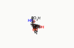 Cc1ccc(S(=O)(=O)O[C@H]2CC3C[C@H](O)CC[C@]3(C)[C@H]3CC[C@]4(C)[C@@H]([C@H](C)CCC(=O)NCCS(=O)(=O)O)CC[C@H]4[C@H]23)cc1